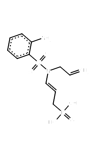 C=CCN(C=CCP(=O)(O)O)S(=O)(=O)c1ccccc1N